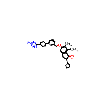 Cc1c(OCc2cccc(-c3ccc(-c4nn[nH]n4)cc3)c2)cc2c(c1C)C(=O)C(C1CCCC1)C2